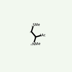 CNC(CSC)C(C)=O